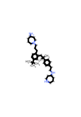 CC(C)(C)c1ccc(CCCN2CCCC(N)CC2)c(CC(C)(C)c2ccc(CCNC3CCCNCC3)cc2)c1